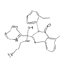 Cc1ccccc1-n1c(C(S)(NCCN)c2ccncn2)nc2cccc(C)c2c1=O